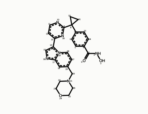 O=C(NO)c1ccc(C2(c3nccc(-c4cnc5cc(CN6CCOCC6)ccn45)n3)CC2)cc1